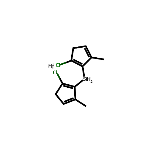 CC1=CCC(Cl)=C1[SiH2]C1=C(Cl)CC=C1C.[Hf]